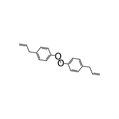 C=CCc1ccc(OOc2ccc(CC=C)cc2)cc1